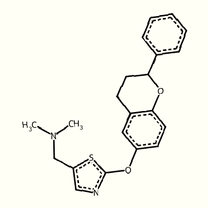 CN(C)Cc1cnc(Oc2ccc3c(c2)CCC(c2ccccc2)O3)s1